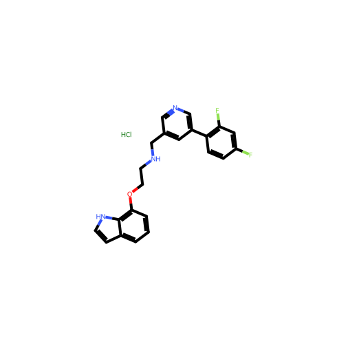 Cl.Fc1ccc(-c2cncc(CNCCOc3cccc4cc[nH]c34)c2)c(F)c1